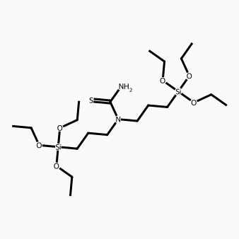 CCO[Si](CCCN(CCC[Si](OCC)(OCC)OCC)C(N)=S)(OCC)OCC